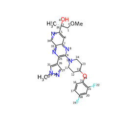 COC[C@](C)(O)c1cc2nc(N3CCC(Oc4ccc(F)cc4F)CC3)c(-c3cnn(C)c3)nc2cn1